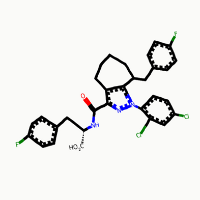 O=C(N[C@@H](Cc1ccc(F)cc1)C(=O)O)c1nn(-c2ccc(Cl)cc2Cl)c2c1CCCCC2Cc1ccc(F)cc1